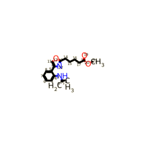 C=C(C)Nc1ccccc1-c1coc(CCCCC(=O)OC)n1